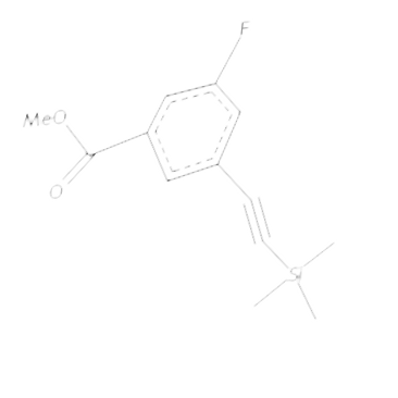 COC(=O)c1cc(F)cc(C#C[Si](C)(C)C)c1